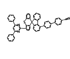 N#Cc1ccc(-c2ccc(-c3cccc4c3-c3ccccc3C43c4ccccc4Sc4c(-c5nc(-c6ccccc6)cc(-c6ccccc6)n5)cccc43)cc2)cc1